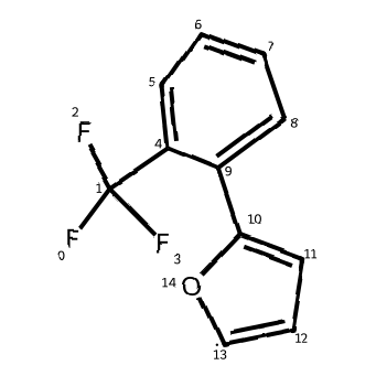 FC(F)(F)c1ccccc1-c1cc[c]o1